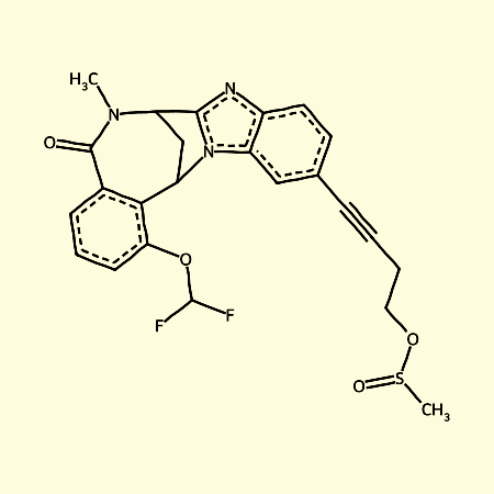 CN1C(=O)c2cccc(OC(F)F)c2C2CC1c1nc3ccc(C#CCCOS(C)=O)cc3n12